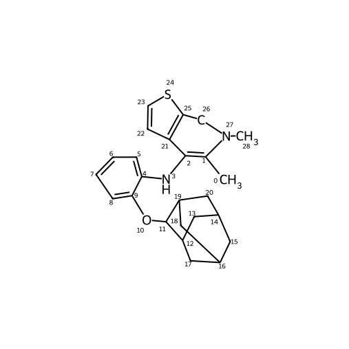 CC1=C(Nc2ccccc2OC2C3CC4CC(C3)CC2C4)c2ccsc2CN1C